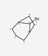 SC1C2CCCC1CC2